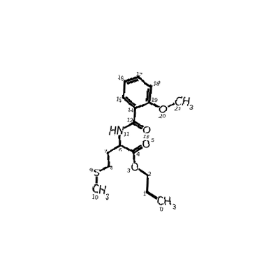 CCCOC(=O)C(CCSC)NC(=O)c1ccccc1OC